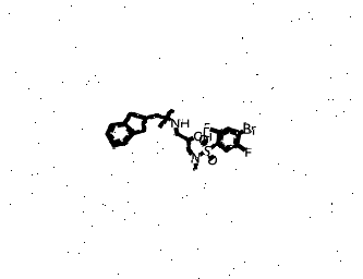 CN(CC(O)CNC(C)(C)CC1Cc2ccccc2C1)S(=O)(=O)c1cc(F)c(Br)cc1F